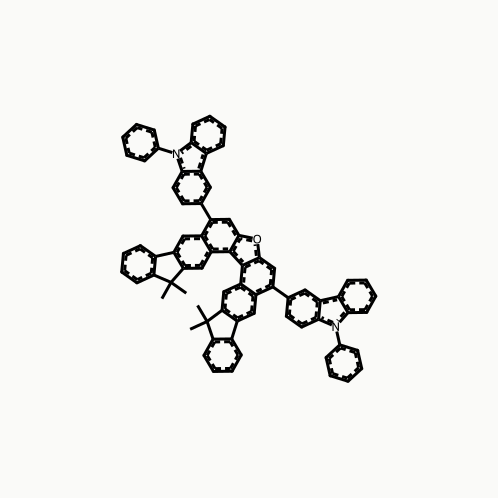 CC1(C)c2ccccc2-c2cc3c(-c4ccc5c(c4)c4ccccc4n5-c4ccccc4)cc4oc5cc(-c6ccc7c(c6)c6ccccc6n7-c6ccccc6)c6cc7c(cc6c5c4c3cc21)C(C)(C)c1ccccc1-7